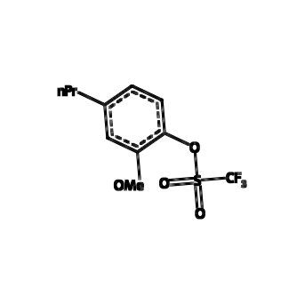 CCCc1ccc(OS(=O)(=O)C(F)(F)F)c(OC)c1